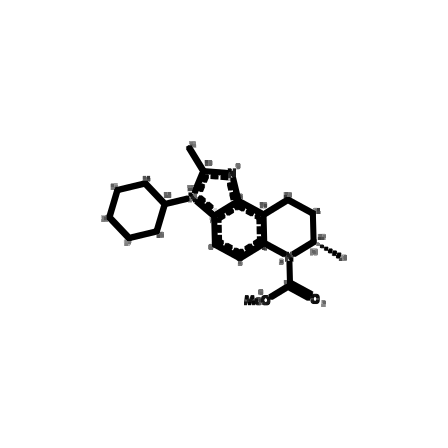 COC(=O)N1c2ccc3c(nc(C)n3C3CCCCC3)c2CC[C@@H]1C